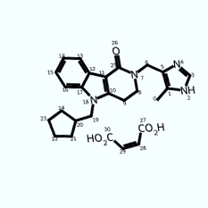 Cc1[nH]cnc1CN1CCc2c(c3ccccc3n2CC2CCCC2)C1=O.O=C(O)/C=C\C(=O)O